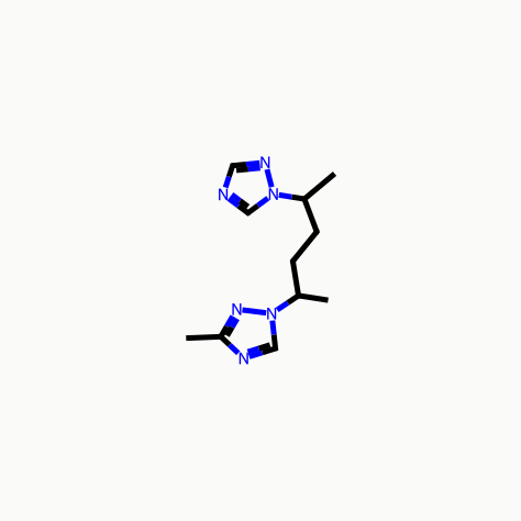 Cc1ncn(C(C)CCC(C)n2cncn2)n1